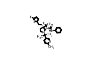 Cc1ccc(C(C)(C)N2CC[C@@](CCc3ccc(F)s3)(C(F)(NC(=O)Nc3ccccc3)C(F)(F)F)C2)cn1